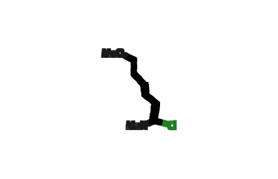 CN/C(Cl)=C\C=C\CCOC